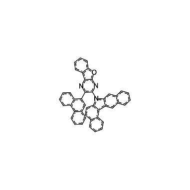 c1ccc2cc3c(cc2c1)c1c2ccccc2ccc1n3-c1nc2oc3ccccc3c2nc1-c1cc2ccccc2c2ccccc12